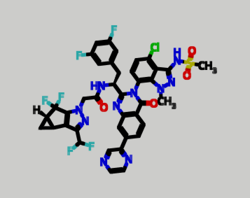 Cn1nc(NS(C)(=O)=O)c2c(Cl)ccc(-n3c([C@H](Cc4cc(F)cc(F)c4)NC(=O)Cn4nc(C(F)F)c5c4C(F)(F)[C@H]4CC54)nc4cc(-c5cnccn5)ccc4c3=O)c21